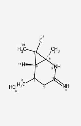 CC1CC(=N)N[C@@]2(C)[C@H]1C2(C)Cl.Cl